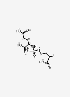 CC(CCOP(=O)(O)NC(CCC(=O)O)C(=O)O)C(=O)O